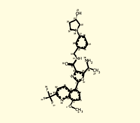 COc1ccc(-c2nc(C(=O)NCc3cccc(N4CC[C@H](O)C4)c3)c([C@H](C)N)o2)c2ccc(C(F)(F)F)nc12